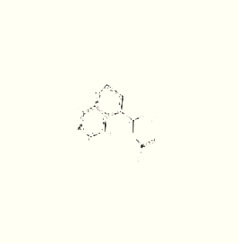 [O]C(=O)OC(c1cccc2ccccc12)C(F)(F)F